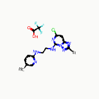 CCc1nc2cc(Cl)nc(NCCNc3ccc(C#N)cn3)n2n1.O=C(O)C(F)(F)F